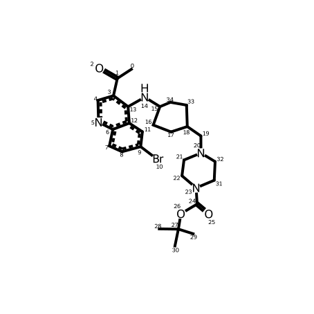 CC(=O)c1cnc2ccc(Br)cc2c1NC1CCC(CN2CCN(C(=O)OC(C)(C)C)CC2)CC1